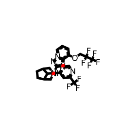 FC(F)(F)c1cc(N2CC3CCC(C2)C3Nc2nc3c(OCC(F)(F)C(F)(F)F)cccn3n2)ncn1